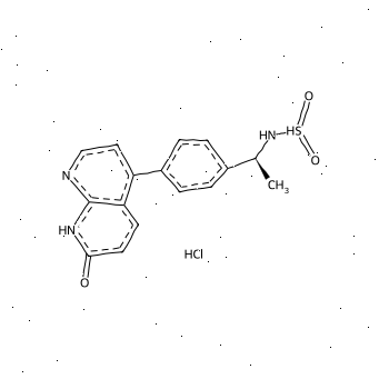 C[C@H](N[SH](=O)=O)c1ccc(-c2ccnc3[nH]c(=O)ccc23)cc1.Cl